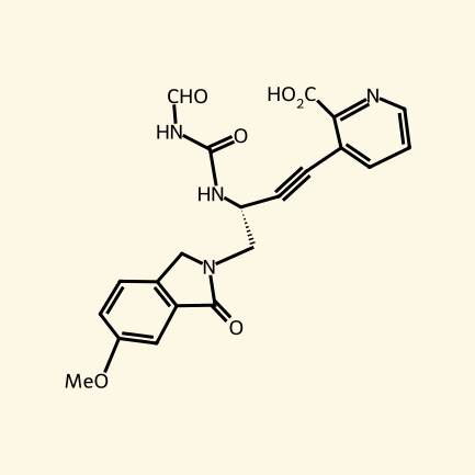 COc1ccc2c(c1)C(=O)N(C[C@@H](C#Cc1cccnc1C(=O)O)NC(=O)NC=O)C2